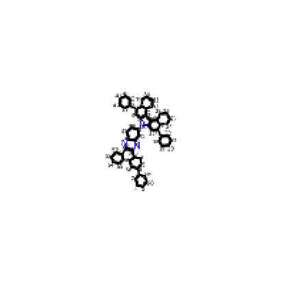 c1ccc(-c2ccc(-c3nc4cc(-n5c6cc(-c7ccccc7)c7ccccc7c6c6c7ccccc7c(-c7ccccc7)cc65)ccc4nc3-c3ccccc3)cc2)cc1